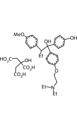 CCC(c1ccc(OC)cc1)C(O)(c1ccc(O)cc1)c1ccc(OCCN(CC)CC)cc1.O=C(O)CC(O)(CC(=O)O)C(=O)O